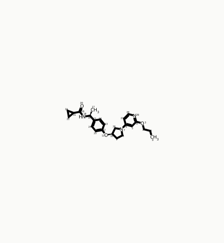 CCCOc1cc(N2CC[C@@H](Oc3ccc([C@H](C)NC(=O)C4CC4)cc3)C2)ccn1